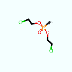 CC(C)P(=O)(OCCCl)OCCCl